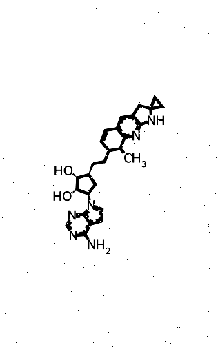 CC1c2nc3c(cc2C=CC1CC[C@H]1C[C@@H](n2ccc4c(N)ncnc42)[C@H](O)[C@@H]1O)CC1(CC1)N3